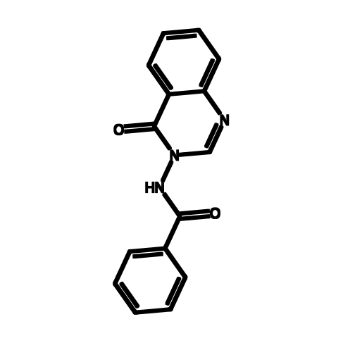 O=C(Nn1cnc2ccccc2c1=O)c1ccccc1